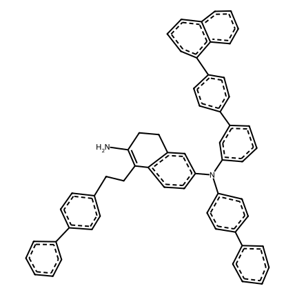 NC1=C(CCc2ccc(-c3ccccc3)cc2)c2ccc(N(c3ccc(-c4ccccc4)cc3)c3cccc(-c4ccc(-c5cccc6ccccc56)cc4)c3)cc2CC1